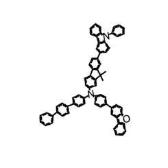 CC1(C)c2cc(-c3ccc4c(c3)c3ccccc3n4-c3ccccc3)ccc2-c2ccc(N(c3ccc(-c4ccc(-c5ccccc5)cc4)cc3)c3ccc(-c4ccc5oc6ccccc6c5c4)cc3)cc21